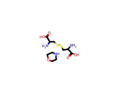 C1COCCN1.NC(CSSCC(N)C(=O)O)C(=O)O